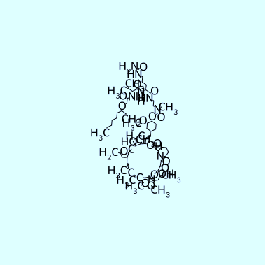 C=CC[C@@H]1/C=C(/C)C[C@H](C)C[C@H](OC)[C@@H]2O[C@](O)(C(=O)C(=O)N3CCCC[C@H]3C(=O)O[C@H](/C(C)=C/[C@@H]3CC[C@@H](OC(=O)N(C)CCNC(=O)[C@H](CCCNC(N)=O)NC(=O)[C@@H](NC(=O)COC(C=C)CCCCCC)C(C)C)[C@H](OC)C3)[C@H](C)[C@H](O)CC1=O)[C@@H](C)C[C@H]2OC